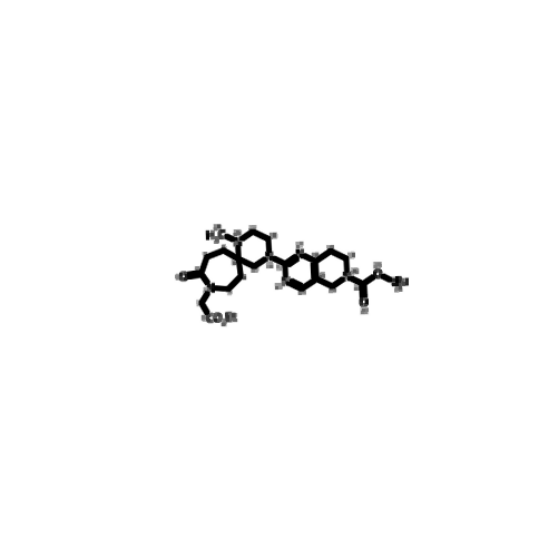 CCOC(=O)CN1CCC2(CCC1=O)CN(c1ncc3c(n1)CCN(C(=O)OC(C)(C)C)C3)CCN2C